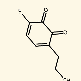 CCCC1=CC=C(F)C(=O)C1=O